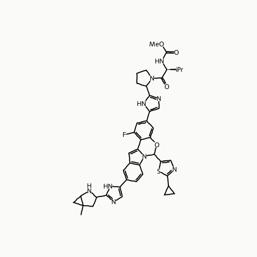 COC(=O)N[C@H](C(=O)N1CCCC1c1ncc(-c2cc(F)c3c(c2)OC(c2cnc(C4CC4)s2)n2c-3cc3cc(-c4cnc(C5CC6(C)CC6N5)[nH]4)ccc32)[nH]1)C(C)C